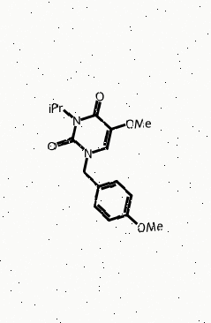 COc1ccc(Cn2cc(OC)c(=O)n(C(C)C)c2=O)cc1